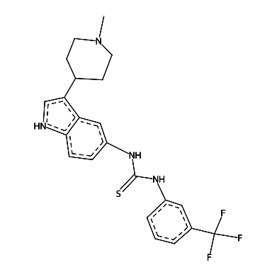 CN1CCC(c2c[nH]c3ccc(NC(=S)Nc4cccc(C(F)(F)F)c4)cc23)CC1